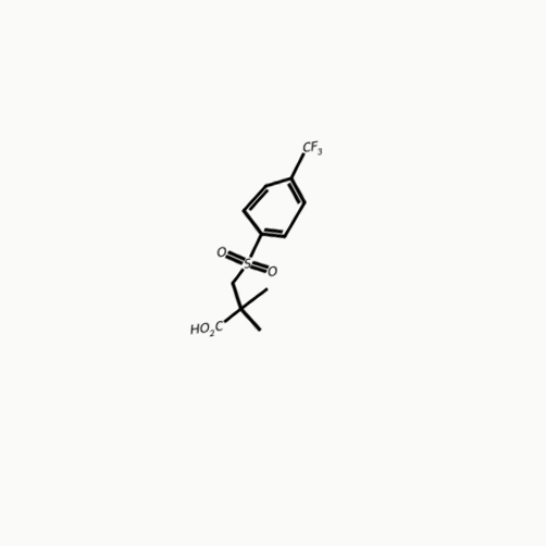 CC(C)(CS(=O)(=O)c1ccc(C(F)(F)F)cc1)C(=O)O